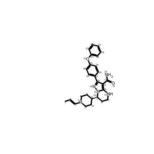 CC=CN1CCC([C@@H]2CCNc3c(C(N)=O)c(-c4ccc(Oc5ccccc5)cc4)nn32)CC1